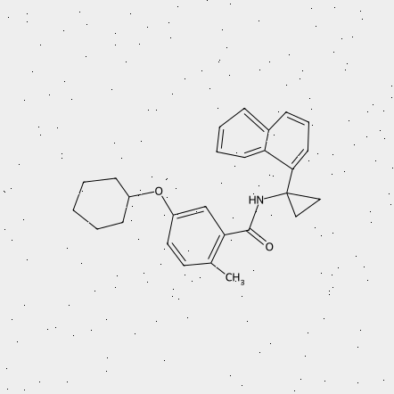 Cc1ccc(OC2CCCCC2)cc1C(=O)NC1(c2cccc3ccccc23)CC1